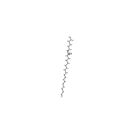 CCCCCCCCCCCCCCCCCCNSCCCCCC